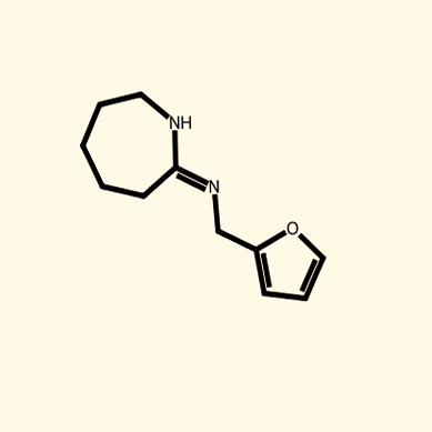 c1coc(CN=C2CCCCCN2)c1